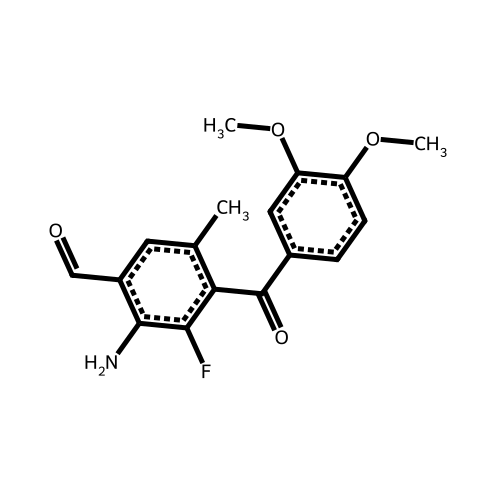 COc1ccc(C(=O)c2c(C)cc(C=O)c(N)c2F)cc1OC